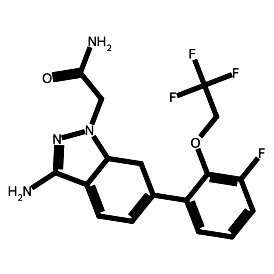 NC(=O)CN1N=C(N)C2=CC=C(c3cccc(F)c3OCC(F)(F)F)CC21